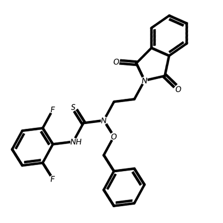 O=C1c2ccccc2C(=O)N1CCN(OCc1ccccc1)C(=S)Nc1c(F)cccc1F